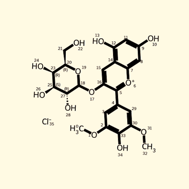 COc1cc(-c2[o+]c3cc(O)cc(O)c3cc2OC2O[C@H](CO)[C@H](O)[C@H](O)[C@H]2O)cc(OC)c1O.[Cl-]